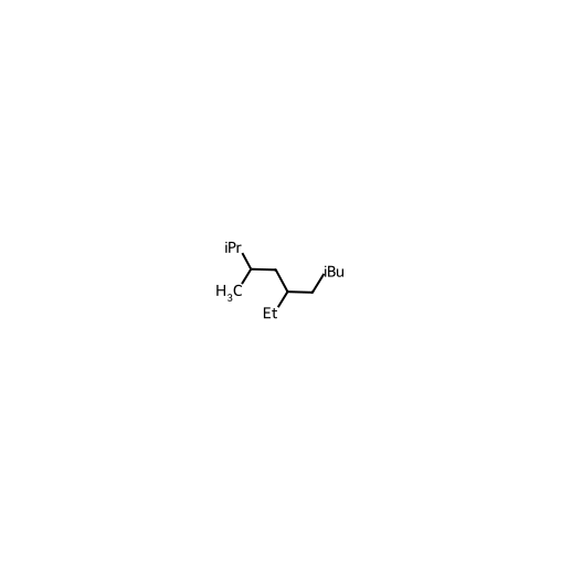 CCC(C)CC(CC)CC(C)C(C)C